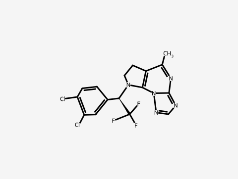 Cc1nc2ncnn2c2c1CCN2[C@H](c1ccc(Cl)c(Cl)c1)C(F)(F)F